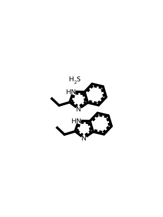 CCc1nc2ccccc2[nH]1.CCc1nc2ccccc2[nH]1.S